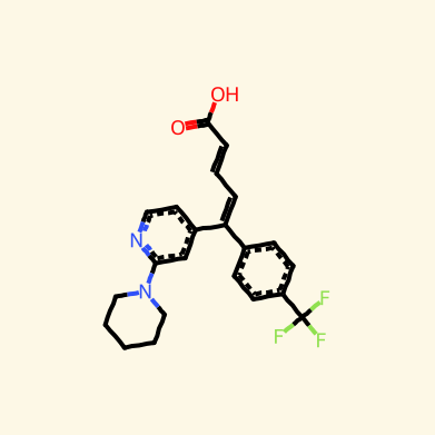 O=C(O)/C=C/C=C(/c1ccc(C(F)(F)F)cc1)c1ccnc(N2CCCCC2)c1